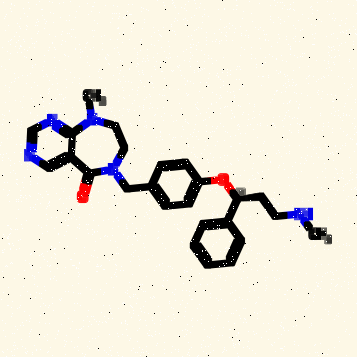 CNCC[C@H](Oc1ccc(CN2CCN(C)c3ncncc3C2=O)cc1)c1ccccc1